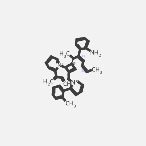 C=CC(=C)c1cccc[n+]1C1C(C[n+]2ccccc2-c2ccccc2C)=C[C@@H]1C(C)/C(=C\C=C/C)c1ccccc1N